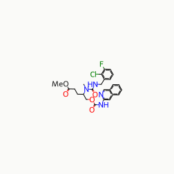 COC(=O)CCC(COC(=O)Nc1cc2ccccc2cn1)N(C)C(=O)NCc1cccc(F)c1Cl